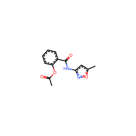 CC(=O)Oc1ccccc1C(=O)Nc1cc(C)on1